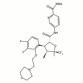 CNC(=O)c1ccc(NC(=O)[C@@H]2O[C@@](C)(C(F)(F)F)[C@@H](C)[C@H]2c2ccc(F)c(F)c2OCCN2CCOCC2)cn1